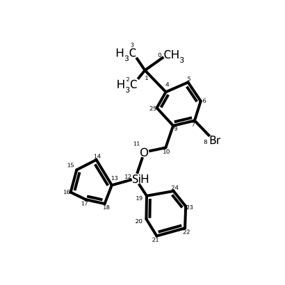 CC(C)(C)c1ccc(Br)c(CO[SiH](c2ccccc2)c2ccccc2)c1